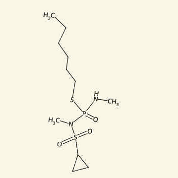 CCCCCCSP(=O)(NC)N(C)S(=O)(=O)C1CC1